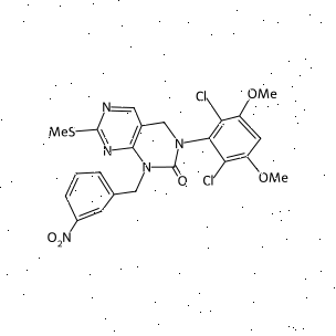 COc1cc(OC)c(Cl)c(N2Cc3cnc(SC)nc3N(Cc3cccc([N+](=O)[O-])c3)C2=O)c1Cl